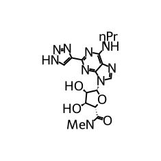 CCCNc1nc(-c2c[nH]nn2)nc2c1ncn2[C@@H]1O[C@H](C(=O)NC)[C@@H](O)[C@H]1O